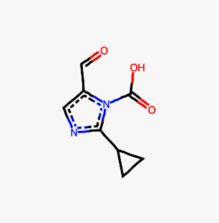 O=Cc1cnc(C2CC2)n1C(=O)O